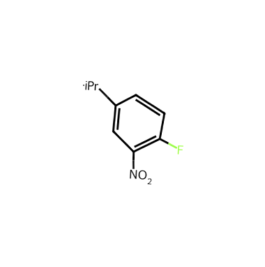 C[C](C)c1ccc(F)c([N+](=O)[O-])c1